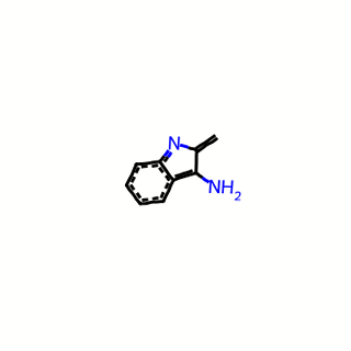 C=C1N=c2ccccc2=C1N